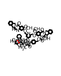 COc1cc(COc2cc3c(cc2OC)C(=O)N2Cc4ccccc4C[C@H]2C=N3)nc(COc2cc3c(cc2OC)C(=O)N2Cc4ccccc4C[C@H]2C(O)N3C(=O)OCc2ccc(NC(=O)[C@H](C)NC(=O)[C@@H](NC(=O)CCCCCN3C(=O)C=CC3=O)C(C)C)cc2)c1